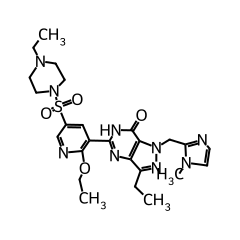 CCOc1ncc(S(=O)(=O)N2CCN(CC)CC2)cc1-c1nc2c(CC)nn(Cc3nccn3C)c2c(=O)[nH]1